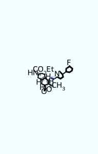 CCOC(=O)N[C@@H]1CC[C@@H]2[C@H](C1)C[C@@H]1C(=O)O[C@@H](C)[C@@H]1[C@H]2/C=C/c1ccc(-c2cccc(F)c2)cn1